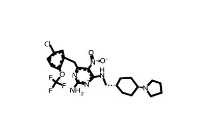 Nc1nc(Cc2cc(Cl)ccc2OC(F)(F)F)c([N+](=O)[O-])c(NC[C@H]2CC[C@H](N3CCCC3)CC2)n1